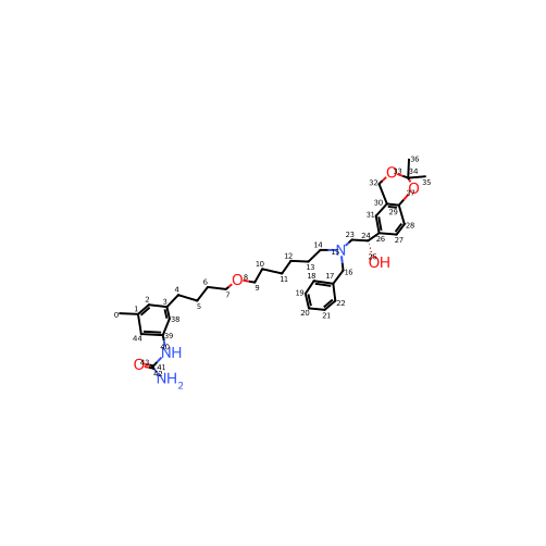 Cc1cc(CCCCOCCCCCCN(Cc2ccccc2)C[C@@H](O)c2ccc3c(c2)COC(C)(C)O3)cc(NC(N)=O)c1